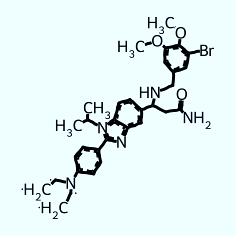 [CH2][CH]N([CH][CH2])c1ccc(-c2nc3cc(C(CC(N)=O)NCc4cc(Br)c(OC)c(OC)c4)ccc3n2C(C)C)cc1